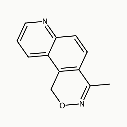 CC1=NOCc2c1ccc1ncccc21